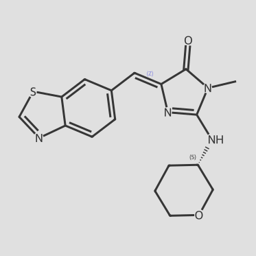 CN1C(=O)/C(=C/c2ccc3ncsc3c2)N=C1N[C@H]1CCCOC1